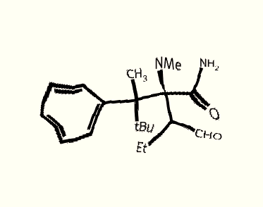 CCC(C=O)[C@@](NC)(C(N)=O)C(C)(c1ccccc1)C(C)(C)C